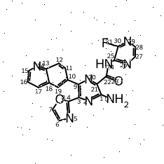 Nc1nc(-c2ncco2)c(-c2ccc3ncccc3c2)nc1C(=O)Nc1nccnc1F